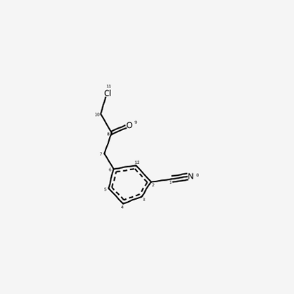 N#Cc1cccc(CC(=O)CCl)c1